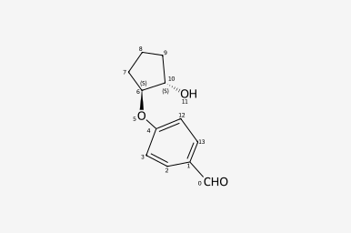 O=Cc1ccc(O[C@H]2CCC[C@@H]2O)cc1